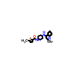 Cc1ccc(C(=O)NC2CCC(Nc3cc(C(C)(C)C)nc4ccccc34)CC2)s1